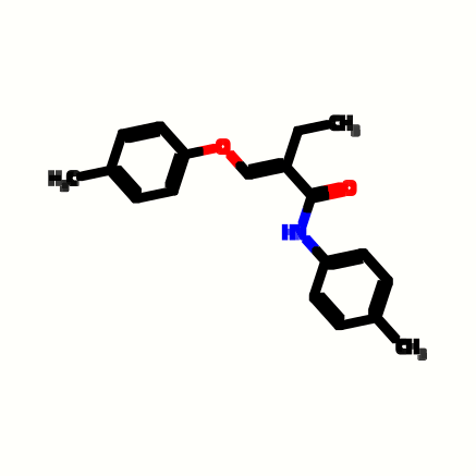 CC/C(=C\Oc1ccc(C)cc1)C(=O)Nc1ccc(C)cc1